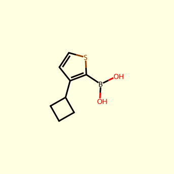 OB(O)c1sccc1C1CCC1